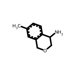 Cc1ccc2c(c1)COCC2N